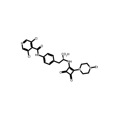 CCN1CCN(c2c(N[C@@H](Cc3ccc(NC(=O)c4c(Cl)cncc4Cl)cc3)C(=O)O)c(=O)c2=O)CC1